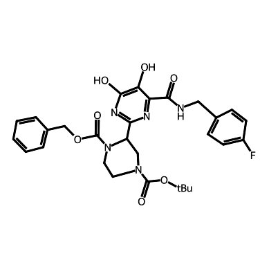 CC(C)(C)OC(=O)N1CCN(C(=O)OCc2ccccc2)C(c2nc(O)c(O)c(C(=O)NCc3ccc(F)cc3)n2)C1